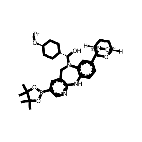 CC(C)O[C@H]1CC[C@H](C(O)N2Cc3cc(B4OC(C)(C)C(C)(C)O4)cnc3Nc3ccc(N4C[C@@H]5CC[C@H]4CO5)cc32)CC1